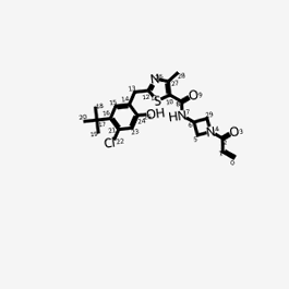 C=CC(=O)N1CC(NC(=O)c2sc(Cc3cc(C(C)(C)C)c(Cl)cc3O)nc2C)C1